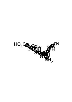 CC(C)Oc1c(NC(=O)c2ccc(NC(=O)C(CC(N)=O)NC(=O)c3ccc(NC(=O)c4ccc(C#N)nc4)cc3)cc2)ccc(C(=O)Nc2ccc(C(=O)O)cc2)c1O